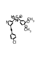 COc1ccc(S(C)(=O)=NC(=O)c2cncc(C#Cc3ccc(Cl)cc3)c2)cc1OC